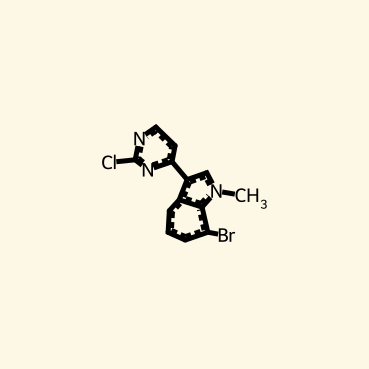 Cn1cc(-c2ccnc(Cl)n2)c2cccc(Br)c21